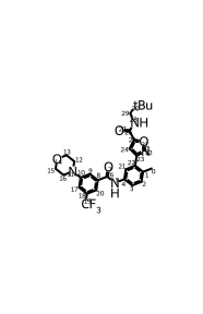 Cc1ccc(NC(=O)c2cc(N3CCOCC3)cc(C(F)(F)F)c2)cc1-c1cc(C(=O)NCC(C)(C)C)on1